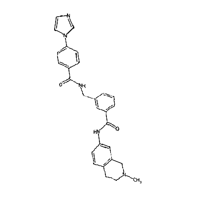 CN1CCc2ccc(NC(=O)c3cccc(CNC(=O)c4ccc(-n5ccnc5)cc4)c3)cc2C1